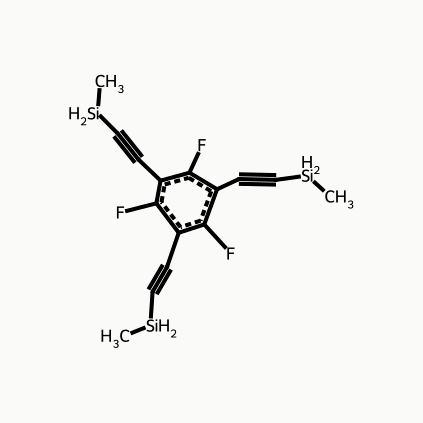 C[SiH2]C#Cc1c(F)c(C#C[SiH2]C)c(F)c(C#C[SiH2]C)c1F